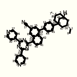 CC[C@H]1C[C@H]2C[C@@H](C)CC(c3ccc(-c4cc(C#N)cc5c(-c6nc(-c7ccncc7)nc(-c7ccncc7)n6)cccc45)cc3)(C2)C1